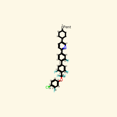 CCCCCC1CCC(c2ccc(-c3ccc(-c4cc(F)c(C(F)(F)Oc5ccc(Cl)c(F)c5)c(F)c4)c(F)c3)nc2)CC1